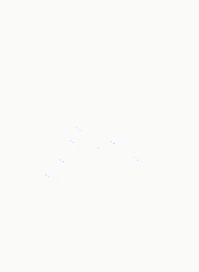 NC(=O)N1CCn2nc(-c3cccc(F)c3)c(C(=O)NC3CCN(S(=O)(=O)C4CC4)CC3)c2C1